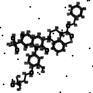 Cc1cccc2c1N(C(=O)OCc1ccccc1)CCN2c1cc2cnc(S(C)(=O)=O)nc2n(-c2ccc(OCC[N+](C)(C)[O-])c(F)c2)c1=O